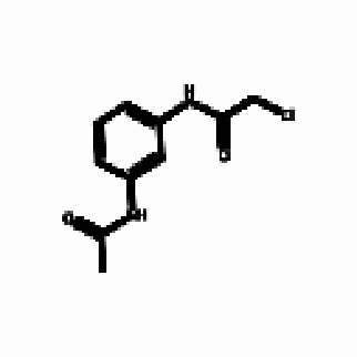 CC(=O)Nc1cccc(NC(=O)CCl)c1